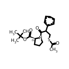 CC(=O)SCC(C(=O)N1CCC[C@H]1C(=O)OC(C)(C)C)c1ccccc1